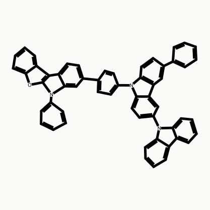 c1ccc(-c2ccc3c(c2)c2cc(-n4c5ccccc5c5ccccc54)ccc2n3-c2ccc(-c3ccc4c5c6ccccc6oc5n(-c5ccccc5)c4c3)cc2)cc1